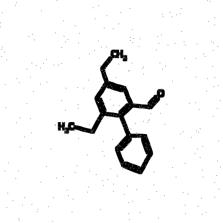 CCc1cc(C=O)c(-c2ccccc2)c(CC)c1